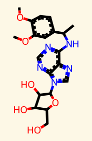 COc1ccc(C(C)Nc2ncnc3c2ncn3C2OC(CO)C(O)C2O)cc1OC